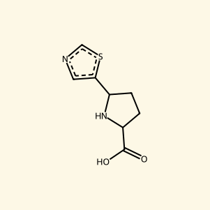 O=C(O)C1CCC(c2cncs2)N1